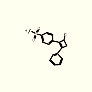 CS(=O)(=O)c1ccc(C2=C(c3ccccc3)CC2Cl)cc1